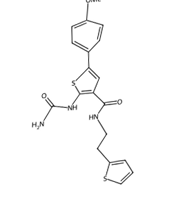 COc1ccc(-c2cc(C(=O)NCCc3cccs3)c(NC(N)=O)s2)cc1